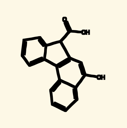 O=C(O)C1c2ccccc2-c2c1cc(O)c1ccccc21